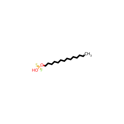 CCCCCCCCCCCCCCOP(O)(F)=S